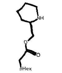 CCCCCCCC(=O)OCC1CCCCN1